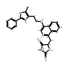 Cc1oc(-c2ccccc2)nc1CCOc1cnc(CC2SC(=O)NC2=O)c2ccccc12